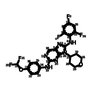 Fc1cc(F)c(Nc2nc3cnc(Nc4ccc(OC(F)F)cc4)nc3n2C2CCOCC2)c(F)c1